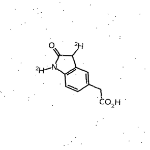 [2H]C1C(=O)N([2H])c2ccc(CC(=O)O)cc21